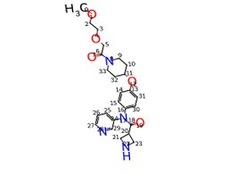 COCCOCC(=O)N1CCC(Oc2ccc(N(C(=O)C3CNC3)c3cccnc3)cc2)CC1